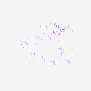 CC[C@H](C)C1NC(=O)[C@@H](CCCNC(=N)N)NC(=O)[C@H](CC(C)C)NC(=O)[C@H]([C@H](O)C(C)C)NC(=O)[C@@H](NC(=O)[C@H](C[Si](C)(C)C)NC(=O)[C@H](N)C[Si](C)(C)C)[C@@H](c2ccccc2)OC(=O)[C@H](CO)NC(=O)[C@H]([C@H](O)C(N)=O)NC(=O)CNC(=O)[C@H]([C@H](C)O)NC1=O